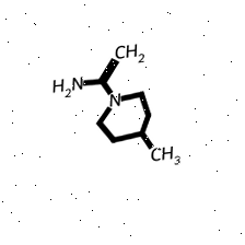 C=C(N)N1CCC(C)CC1